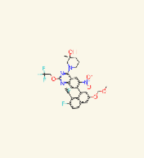 C#Cc1c(F)ccc2cc(OCOC)cc(-c3c([N+](=O)[O-])cc4c(N5CCC[C@@](C)(O)C5)nc(OCC(F)(F)F)nc4c3F)c12